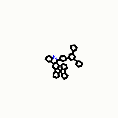 c1ccc(-c2cc(-c3ccccc3)cc(-c3ccc(-c4nc5ccccc5c5cc6c(cc45)C4(c5ccccc5-c5ccccc54)c4ccccc4-6)cc3)c2)cc1